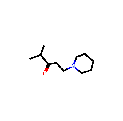 CC(C)C(=O)CCN1CCCCC1